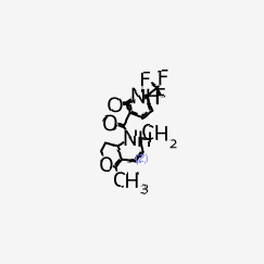 C=C/C=C\C1=C(C)OCCC1NC(=O)c1ccc(C(F)(F)F)[nH]c1=O